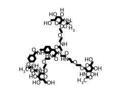 CC(=O)NC1C(OCCOCCNC(=O)CN(CC(=O)NCCOCCOC2OC(CO)C(O)C(O)C2NC(C)=O)C(Cc2ccc(CNC(=O)C3CCC(OC(C)(C)C)CC3)cc2)C(=O)NCCOCCOC2OC(CO)C(O)C(O)C2NC(C)=O)OC(CO)C(O)C1O